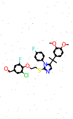 COc1ccc(C(C)(C)c2cnc(SCCOc3c(F)cc(C=O)cc3Cl)n2-c2ccc(F)cc2)cc1OC